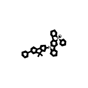 CC1(C)c2cc(-c3ccccc3)ccc2-c2ccc(-n3c4ccccc4c4cc5c(cc43)-c3ccccc3P5(=O)c3ccccc3)cc21